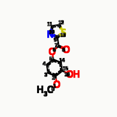 COc1ccc(OC(=O)c2nccs2)cc1O